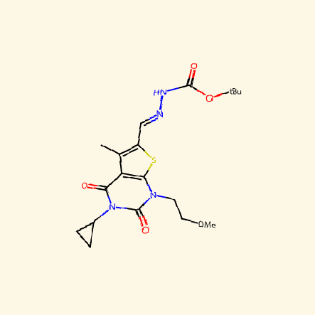 COCCn1c(=O)n(C2CC2)c(=O)c2c(C)c(C=NNC(=O)OC(C)(C)C)sc21